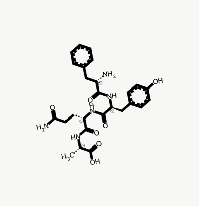 C[C@H](NC(=O)[C@H](CCC(N)=O)NC(=O)[C@H](Cc1ccc(O)cc1)NC(=O)[C@@H](N)Cc1ccccc1)C(=O)O